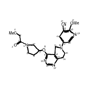 COCC(=O)N1CCC(Oc2ncnc3c2CN(c2cnc(OC)c(C#N)c2)CC3)C1